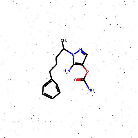 CC(CCCc1ccccc1)n1ncc(OC(N)=O)c1N